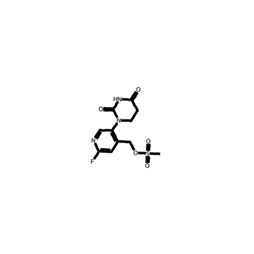 CS(=O)(=O)OCc1cc(F)ncc1N1CCC(=O)NC1=O